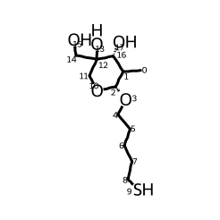 CC1[C@H](OCCCCCS)OCC(O)(CO)[C@@H]1O